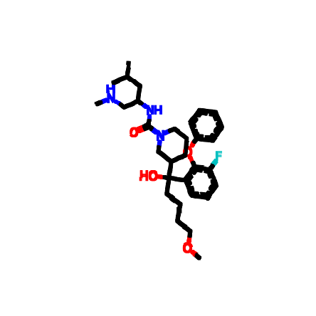 CNCC(CC(C)C)NC(=O)N1CCCC(C(O)(CCCCOC)c2cccc(F)c2Oc2ccccc2)C1